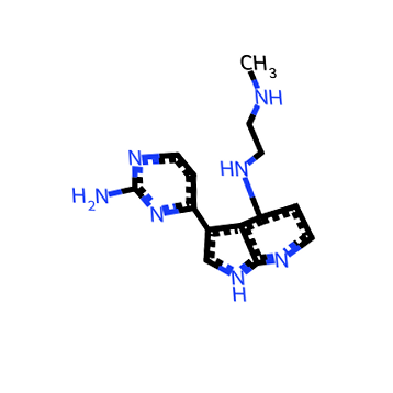 CNCCNc1ccnc2[nH]cc(-c3ccnc(N)n3)c12